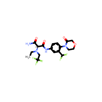 CCN(CC(F)(F)F)[C@@H](C(N)=O)C(=O)Nc1ccc(N2CCOCC2=O)c(C(F)F)c1